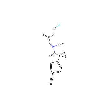 C#Cc1ccc(C2(C(=C)N(CCC)CC(=C)CCF)CC2)cc1